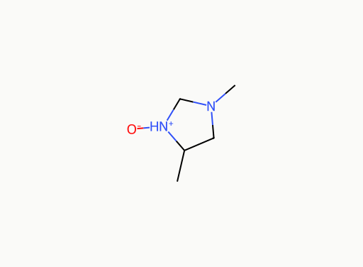 CC1CN(C)C[NH+]1[O-]